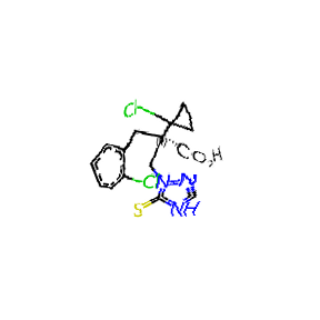 O=C(O)[C@@](Cc1ccccc1Cl)(Cn1nc[nH]c1=S)C1(Cl)CC1